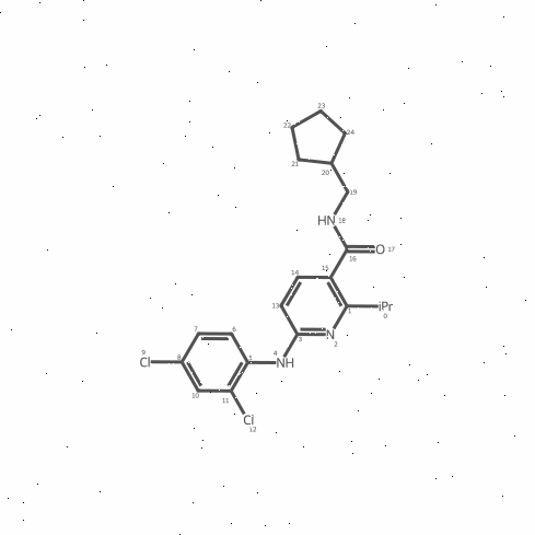 CC(C)c1nc(Nc2ccc(Cl)cc2Cl)ccc1C(=O)NCC1CCCC1